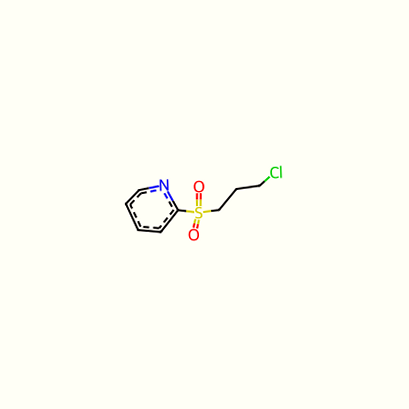 O=S(=O)(CCCCl)c1ccccn1